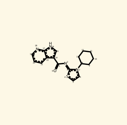 O=C(/N=c1\sccn1C1CCCCC1)c1c[nH]c2ncccc12